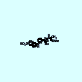 CCC(C)c1nc(NC(C)COC)sc1-c1ccnc(Nc2ccc(CN(C(=O)O)C(C)(C)C)cc2)n1